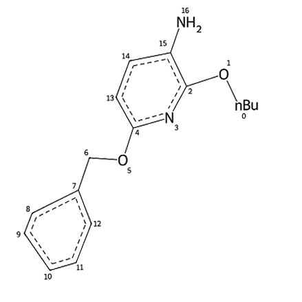 CCCCOc1nc(OCc2ccccc2)ccc1N